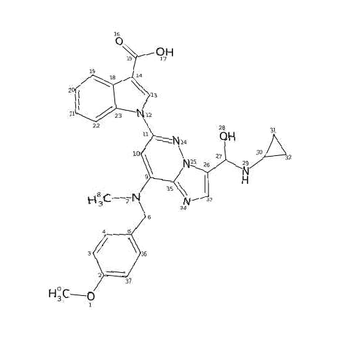 COc1ccc(CN(C)c2cc(-n3cc(C(=O)O)c4ccccc43)nn3c(C(O)NC4CC4)cnc23)cc1